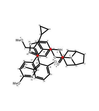 COCc1ccc(NC(=O)N2C3CCC2CC(OCc2c(-c4c(Cl)cccc4Cl)noc2C2CC2)C3)cc1-c1ccc(OC)nc1